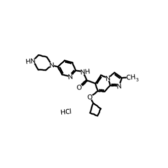 Cc1cn2cc(C(=O)Nc3ccc(N4CCNCC4)cn3)c(OC3CCC3)cc2n1.Cl